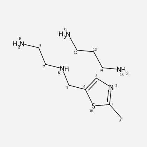 Cc1ncc(CNCCN)s1.NCCCN